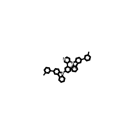 Cc1cccc(-c2ccc3c(c2)c2ccccc2n3-c2ccc(C#N)c(-c3cnccc3-n3c4ccccc4c4cc(-c5cccc(C)c5)ccc43)c2)c1